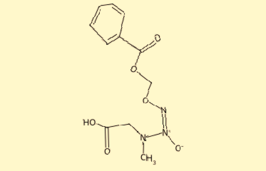 CN(CC(=O)O)/[N+]([O-])=N\OCOC(=O)c1ccccc1